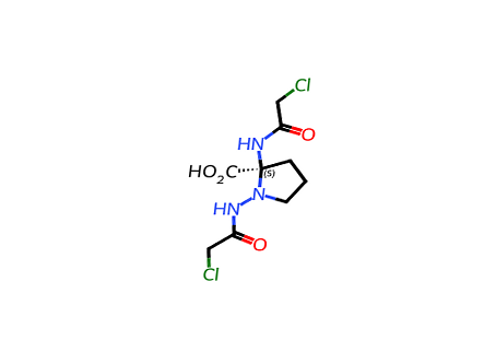 O=C(CCl)NN1CCC[C@@]1(NC(=O)CCl)C(=O)O